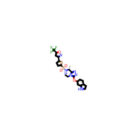 CCn1c(Oc2ccc3cc[nH]c3c2)nnc1[C@@H](C)NS(=O)(=O)c1ccc(-c2cc(C(F)(F)F)on2)s1